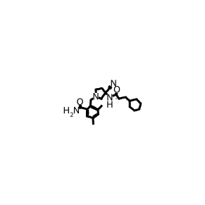 Cc1cc(C)c(CN2CCC(C#N)(NC(=O)[CH]CC3CCCCC3)C2)c(C(N)=O)c1